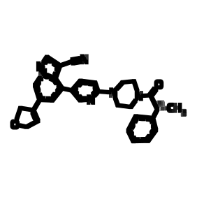 C[C@@H](C(=O)N1CCN(c2ccc(-c3cc(C4=CCOC4)cn4ncc(C#N)c34)cn2)CC1)c1ccccc1